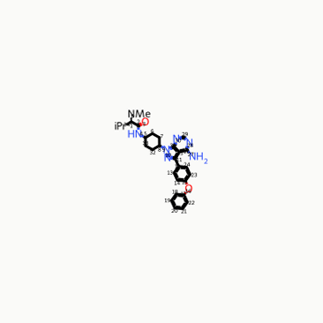 CN[C@@H](C(=O)NC1CCC(n2nc(-c3ccc(Oc4ccccc4)cc3)c3c(N)ncnc32)CC1)C(C)C